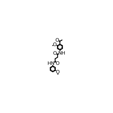 COc1cccc(NC(=O)CCC(=O)Nc2ccc(C(C)=O)c(OC)c2)c1